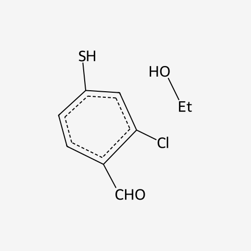 CCO.O=Cc1ccc(S)cc1Cl